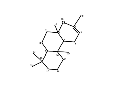 CC1=CCC2C(C)(CCC3C(C)(C)CCCC32C)O1